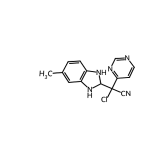 Cc1ccc2c(c1)NC(C(Cl)(C#N)c1ccncn1)N2